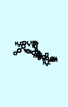 CC1(C)CCC(CN2CCN(c3ccc(C(=O)NS(=O)(=O)c4cnc(OCC(C)(CO)CO)c(Cl)c4)c(Oc4cnc5[nH]ccc5c4)c3)CC2)=C(c2ccc(Cl)cc2)C1